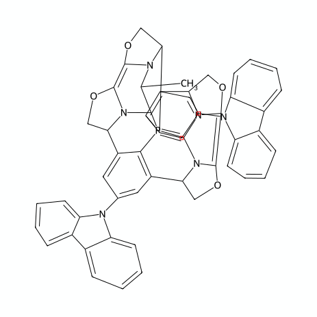 CC1C2N3C4=C5OCC(c6cc(-n7c8ccccc8c8ccccc87)cc7c6P26=C2N8C(=C9OCC(c%10cc(-n%11c%12ccccc%12c%12ccccc%12%11)cc(c%106)C3CO4)N92)OCC78)N51